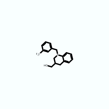 OCC1Cc2ccccc2N(Cc2cccc(C(F)(F)F)c2)C1